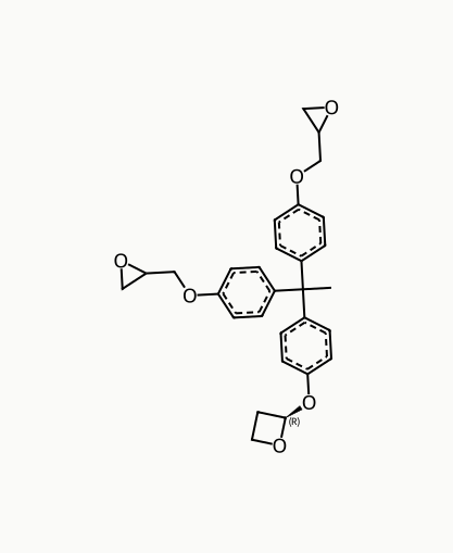 CC(c1ccc(OCC2CO2)cc1)(c1ccc(OCC2CO2)cc1)c1ccc(O[C@@H]2CCO2)cc1